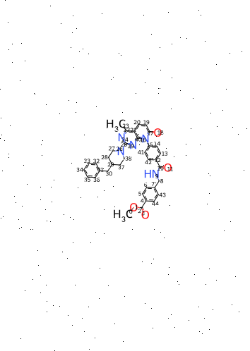 COC(=O)c1ccc(CNC(=O)c2ccc(-n3c(=O)ccc4c(C)nc(N5CCC(Cc6ccccc6)CC5)nc43)cc2)cc1